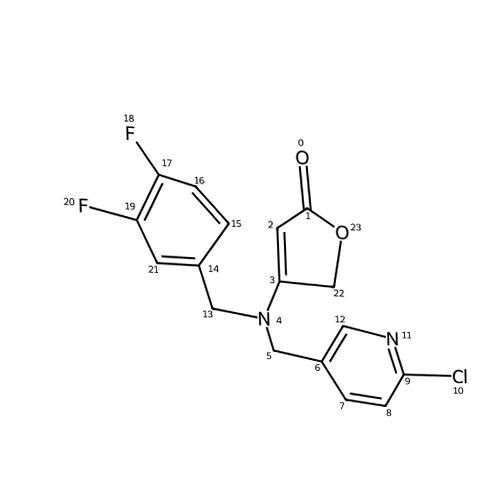 O=C1C=C(N(Cc2ccc(Cl)nc2)Cc2ccc(F)c(F)c2)CO1